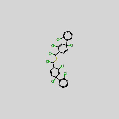 ClC1=CC(Cl)(c2ccccc2Cl)C=CC1C(Cl)SC(Cl)C1C=CC(Cl)(c2ccccc2Cl)C=C1Cl